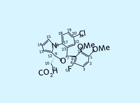 COc1ccc(F)c([C@H]2O[C@H](CC(=O)O)c3cccn3-c3ccc(Cl)cc32)c1OC